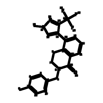 Cc1ccc(CN2CCc3c(cccc3-c3cn(C)nc3C(F)(F)F)C2=O)nc1